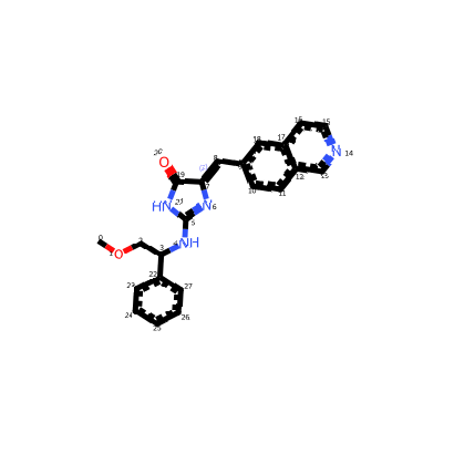 COCC(NC1=N/C(=C\c2ccc3cnccc3c2)C(=O)N1)c1ccccc1